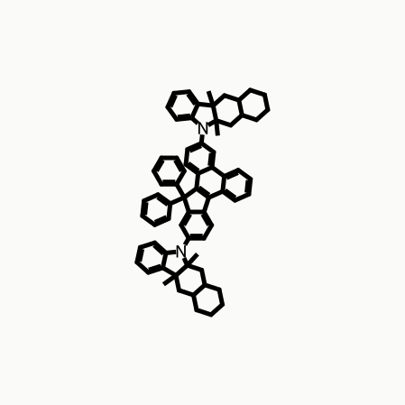 CC12CC3CCCCC3CC1(C)N(c1ccc3c(c1)C(c1ccccc1)(c1ccccc1)c1c-3c3ccccc3c3cc(N4c5ccccc5C5(C)CC6CCCCC6CC45C)ccc13)c1ccccc12